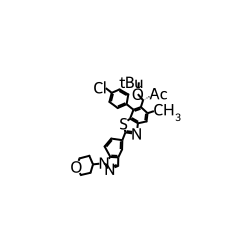 CC(=O)[C@@H](OC(C)(C)C)c1c(C)cc2nc(-c3ccc4c(cnn4C4CCOCC4)c3)sc2c1-c1ccc(Cl)cc1